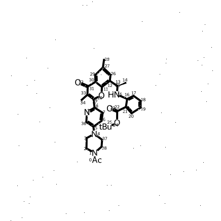 CC(=O)N1CCN(c2ccc(-c3oc4c([C@@H](C)Nc5ccccc5C(=O)OC(C)(C)C)cc(C)cc4c(=O)c3C)nc2)CC1